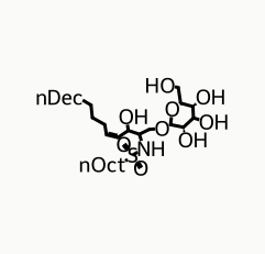 CCCCCCCCCCCCC/C=C\C(O)C(CO[C@@H]1OC(CO)[C@@H](O)C(O)[C@@H]1O)NS(=O)(=O)CCCCCCCC